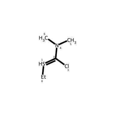 CC[SH]=C(Cl)N(C)C